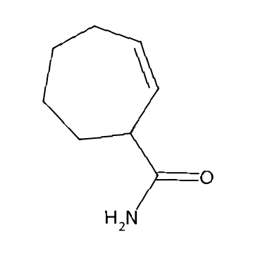 NC(=O)C1C=CCCCC1